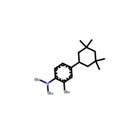 CC1(C)CC(c2ccc(N(C(C)(C)C)C(C)(C)C)c(C(C)(C)C)c2)CC(C)(C)C1